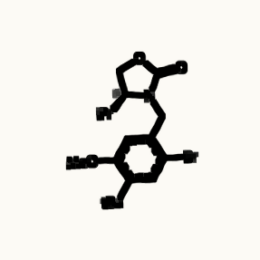 COc1cc(CN2C(=O)OC[C@@H]2C(C)C)c(Br)cc1C(C)(C)C